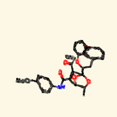 COC(=O)C1=C(C(=O)Nc2ccc(OC)cc2)C2OC1(C(Cc1ccccc1)Oc1ccccc1)OC2C